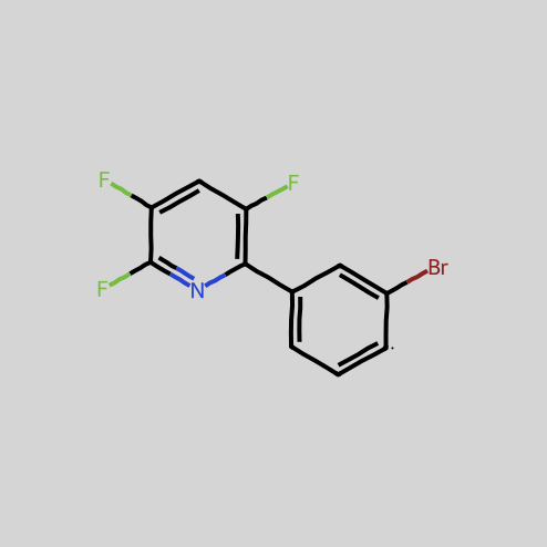 Fc1cc(F)c(-c2cc[c]c(Br)c2)nc1F